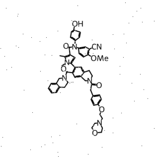 COc1ccc(N(C(=O)c2cc(-c3cc4c(cc3C(=O)N3Cc5ccccc5C[C@H]3C)CN(C(=O)Cc3ccc(OCCN5CCOCC5)cc3)CC4)n(C)c2C)c2ccc(O)cc2)cc1C#N